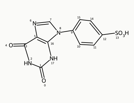 O=c1[nH]c(=O)c2ncn(-c3ccc(S(=O)(=O)O)cc3)c2[nH]1